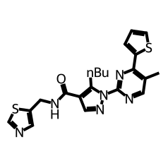 CCCCc1c(C(=O)NCc2cncs2)cnn1-c1ncc(C)c(-c2cccs2)n1